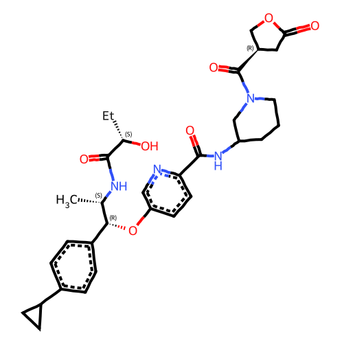 CC[C@H](O)C(=O)N[C@@H](C)[C@H](Oc1ccc(C(=O)NC2CCCN(C(=O)[C@H]3COC(=O)C3)C2)nc1)c1ccc(C2CC2)cc1